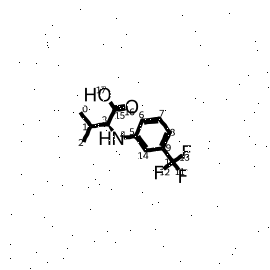 CC(C)[C@H](Nc1cccc(C(F)(F)F)c1)C(=O)O